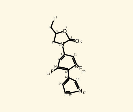 O=C1OC(CI)CN1c1cc(F)c(-c2cccnc2)c(F)c1